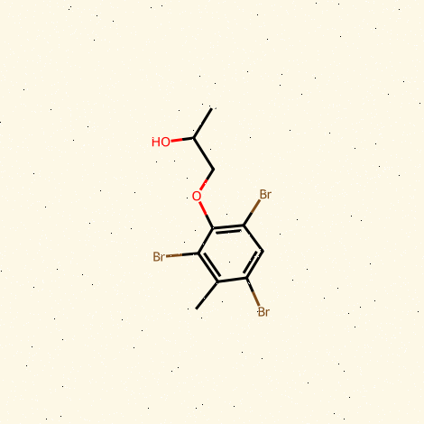 [CH2]C(O)COc1c(Br)cc(Br)c(C)c1Br